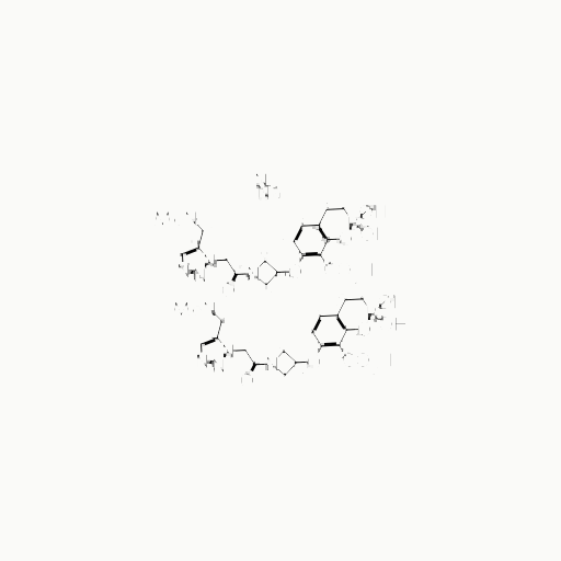 CNCc1cnnn1CC(=O)N1CC(Oc2ccc3c(c2C(=O)O)O[B-](O)(O)CC3)C1.CNCc1cnnn1CC(=O)N1CC(Oc2ccc3c(c2C(=O)O)O[B-](O)(O)CC3)C1.[Na+].[Na+]